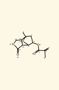 C=C(C)C(=O)OC1CC2(C)OC1C1C(=O)OCC12